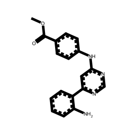 COC(=O)c1ccc(Nc2cc(-c3ccccc3N)ncn2)cc1